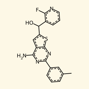 Cc1cccc(-c2nc(N)c3cc(C(O)c4cccnc4F)sc3n2)c1